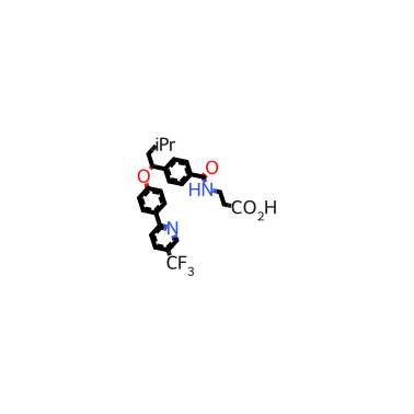 CC(C)CC(Oc1ccc(-c2ccc(C(F)(F)F)cn2)cc1)c1ccc(C(=O)NCCC(=O)O)cc1